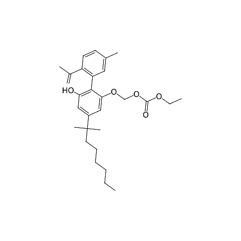 C=C(C)c1ccc(C)cc1-c1c(O)cc(C(C)(C)CCCCCC)cc1OCOC(=O)OCC